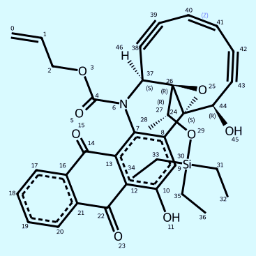 C=CCOC(=O)N1c2c(cc(O)c3c2C(=O)c2ccccc2C3=O)[C@@]23O[C@@]2([C@@H](C)O[Si](CC)(CC)CC)[C@@H]1C#C/C=C\C#C[C@H]3O